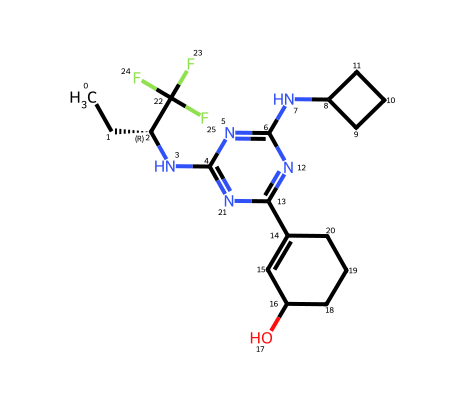 CC[C@@H](Nc1nc(NC2CCC2)nc(C2=CC(O)CCC2)n1)C(F)(F)F